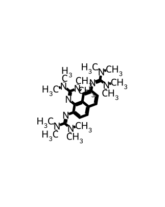 CN(C)C(=Nc1ccc2ccc(N=C(N(C)C)N(C)C)c(N=C(N(C)C)N(C)C)c2c1)N(C)C